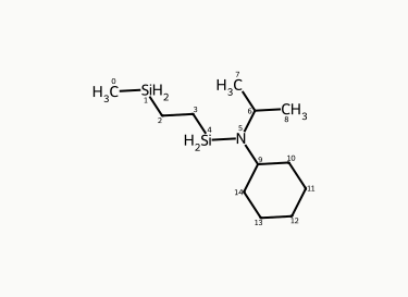 C[SiH2]CC[SiH2]N(C(C)C)C1CCCCC1